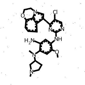 COc1cc(N(C)C2CCN(C)C2)c(N)cc1Nc1ncc(Cl)c(-c2cn3c4c(cccc24)OCC3)n1